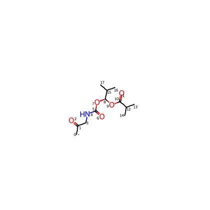 [CH2]C(=O)CNC(=O)O[C@H](OC(=O)C(C)C)C(C)C